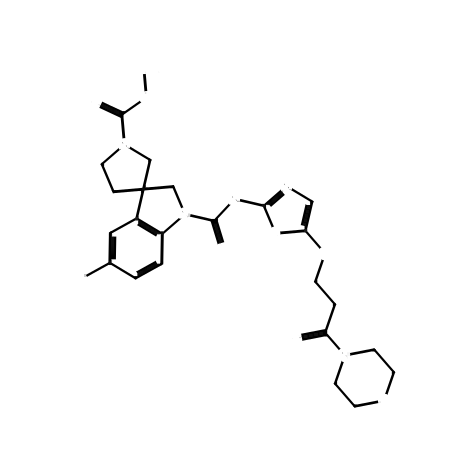 COC(=O)N1CCC2(C1)CN(C(=O)Nc1ncc(SCCC(=O)N3CCOCC3)s1)c1ccc(Cl)cc12